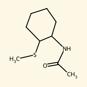 CSC1CCCCC1NC(C)=O